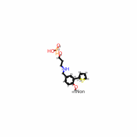 CCCCCCCCCOc1ccc(CNCCCO[PH](=O)O)cc1-c1cccs1